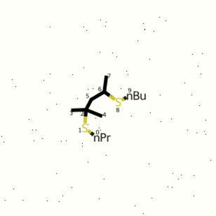 [CH2]CCSC(C)(C)CC(C)SCCCC